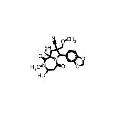 COCC1(C#N)CC2(SS)C(=O)N(C)C(C)CC(=O)N2C1c1ccc2c(c1)OCO2